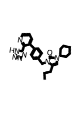 CCCc1cn(C2CCCCC2)c(=O)n1Cc1ccc(-c2cccnc2-c2nnn[nH]2)cc1